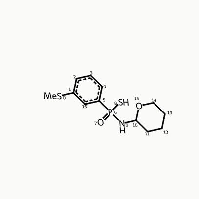 CSc1cccc(P(=O)(S)NC2CCCCO2)c1